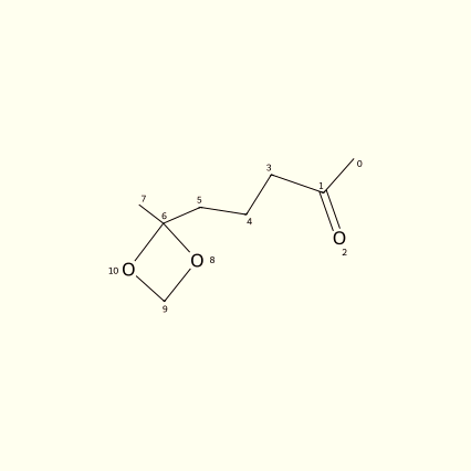 CC(=O)CCCC1(C)OCO1